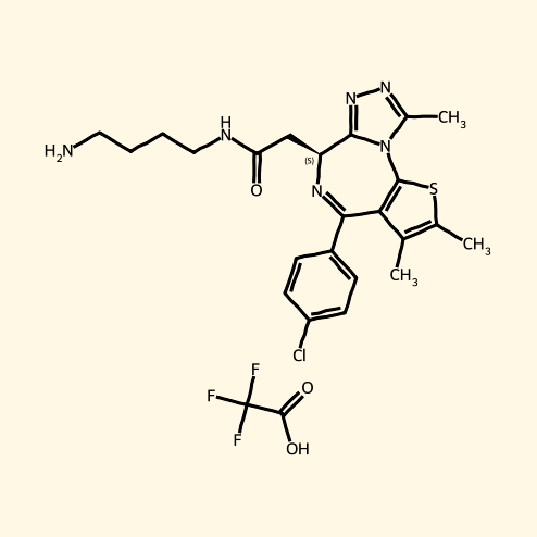 Cc1sc2c(c1C)C(c1ccc(Cl)cc1)=N[C@@H](CC(=O)NCCCCN)c1nnc(C)n1-2.O=C(O)C(F)(F)F